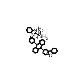 BC(B)(B)c1nc2ccccc2n1-c1cccc(-c2c3ccccc3c(-c3ccc4oc5ccccc5c4c3)c3ccccc23)c1